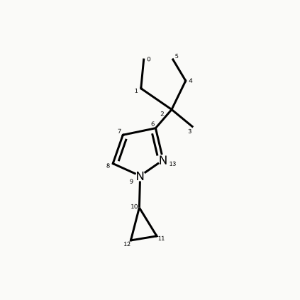 CCC(C)(CC)c1ccn(C2CC2)n1